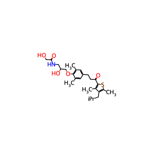 Cc1cc(CCC(=O)c2sc(C)c(CC(C)C)c2C)cc(C)c1OCC(O)CNC(=O)CO